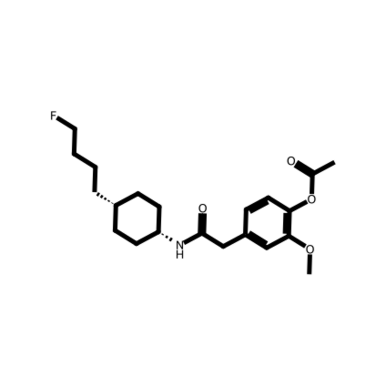 COc1cc(CC(=O)N[C@H]2CC[C@@H](CCCCF)CC2)ccc1OC(C)=O